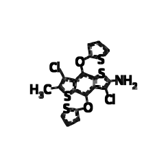 Cc1sc2c(Oc3cccs3)c3c(Cl)c(N)sc3c(Oc3cccs3)c2c1Cl